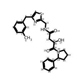 Cc1cccc(Cc2csc(CNC(=O)C[C@@H](O)C(=O)N3CCCC3c3ccccc3)n2)c1